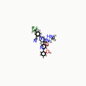 COc1ccccc1-c1ccc(C2(C(=O)NC[C@H]3CCN3)CCN(c3ccc(C(F)(F)F)cc3C#N)CC2)cn1